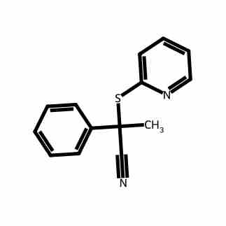 CC(C#N)(Sc1ccccn1)c1ccccc1